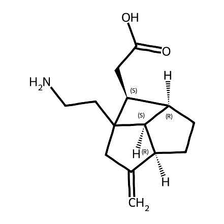 C=C1CC2(CCN)[C@H]3[C@H](CC[C@@H]13)[C@@H]2CC(=O)O